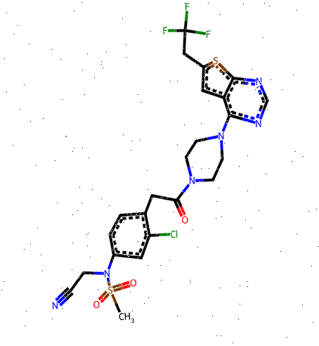 CS(=O)(=O)N(CC#N)c1ccc(CC(=O)N2CCN(c3ncnc4sc(CC(F)(F)F)cc34)CC2)c(Cl)c1